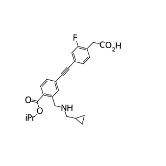 CC(C)OC(=O)c1ccc(C#Cc2ccc(CC(=O)O)c(F)c2)cc1CNCC1CC1